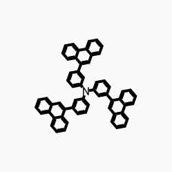 c1cc(-c2cc3ccccc3c3ccccc23)cc(N(c2cccc(-c3cc4ccccc4c4ccccc34)c2)c2cccc(-c3cc4ccccc4c4ccccc34)c2)c1